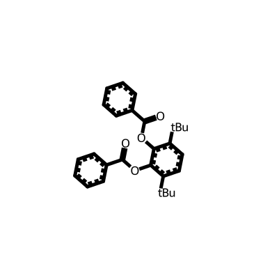 CC(C)(C)c1ccc(C(C)(C)C)c(OC(=O)c2ccccc2)c1OC(=O)c1ccccc1